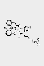 O=C(Cc1ccccc1Nc1c(Cl)cccc1Cl)ON[C@@H](Cc1c[nH]cn1)C(=O)OCCCCO[N+](=O)[O-]